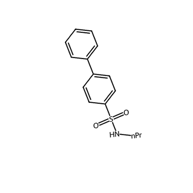 CCCNS(=O)(=O)c1ccc(-c2ccccc2)cc1